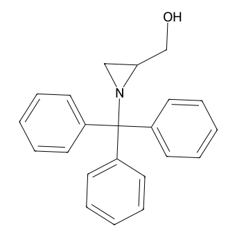 OCC1CN1C(c1ccccc1)(c1ccccc1)c1ccccc1